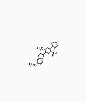 [CH2]c1cc(-c2ccccc2)c(C(F)(F)F)cc1-c1ccc2cc(OC)ccc2c1